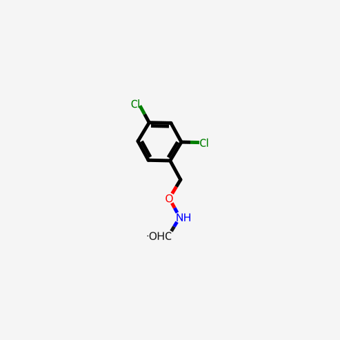 O=[C]NOCc1ccc(Cl)cc1Cl